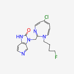 O=c1[nH]c2ccncc2n1Cc1nccc(Cl)cccn1CCCCF